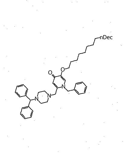 CCCCCCCCCCCCCCCCCCOc1cn(Cc2ccccc2)c(CN2CCN(C(c3ccccc3)c3ccccc3)CC2)cc1=O